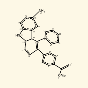 COC(=O)c1ccc(C2=C(c3ccccc3)C3c4cc(N)ccc4NC3N=C2)cc1